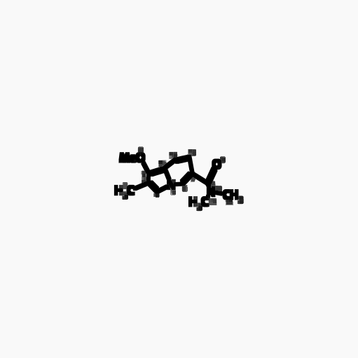 COc1c(C)cn2cc(C(=O)N(C)C)ccc12